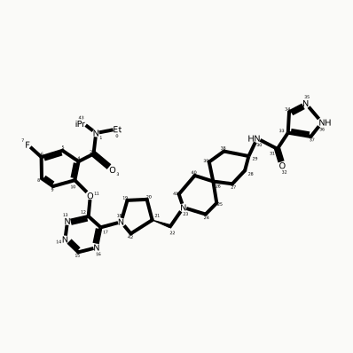 CCN(C(=O)c1cc(F)ccc1Oc1nncnc1N1CC[C@@H](CN2CCC3(CCC(NC(=O)c4cn[nH]c4)CC3)CC2)C1)C(C)C